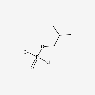 CC(C)COP(=O)(Cl)Cl